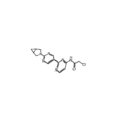 O=C(CCl)Nc1ccnc(-c2cnc(N3CC4CC4C3)nc2)n1